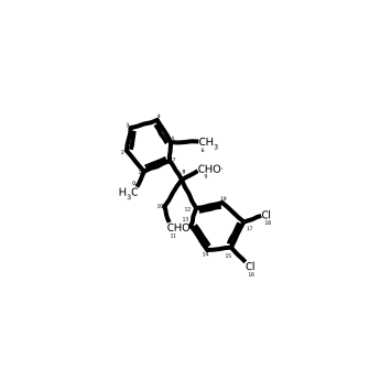 Cc1cccc(C)c1C([C]=O)(CC=O)c1ccc(Cl)c(Cl)c1